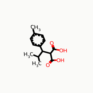 Cc1ccc(C(C(C)C)C(C(=O)O)C(=O)O)cc1